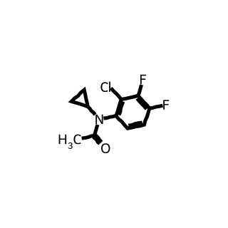 CC(=O)N(c1ccc(F)c(F)c1Cl)C1CC1